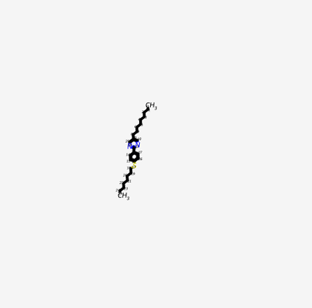 CCCCCCCCCc1cnc(-c2ccc(SCCCCCCCC)cc2)nc1